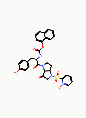 O=C(NC(Cc1ccc(O)cc1)C(=O)N1CCC2C1C(=O)CN2S(=O)(=O)c1cccc[n+]1[O-])Oc1cccc2ccccc12